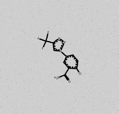 NC(=O)c1cc(-n2cc(C(F)(F)F)nn2)ccc1Cl